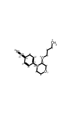 CCCCOC1COCCN1C1=CCC(=[N+]=[N-])C=C1